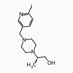 C[C@H](CO)N1CCN(Cc2ccc(I)nc2)CC1